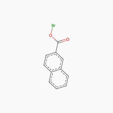 O=C(OBr)c1ccc2ccccc2c1